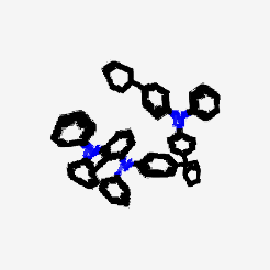 c1ccc(N(c2ccc(C3CCCCC3)cc2)c2ccc(C3(c4ccc(N(c5ccccc5)c5cccc6c5c5ccccc5n6-c5ccccc5)cc4)CC4CCC3C4)cc2)cc1